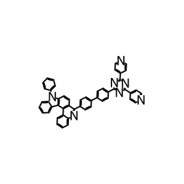 c1ccc(-n2c3ccccc3c3c4c(ccc32)c(-c2ccc(-c3ccc(-c5nc(-c6ccncc6)nc(-c6ccncc6)n5)cc3)cc2)nc2ccccc24)cc1